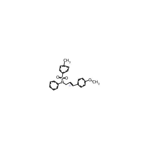 COc1ccc(/C=C/CN(c2ccccc2)S(=O)(=O)c2ccc(C)cc2)cc1